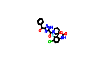 O=C1Nc2ccc(Cl)c(F)c2[C@@]2(CCCN(C(=O)c3nc(C(=O)c4ccccc4)n[nH]3)C2)O1